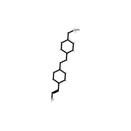 CCC=CC1CCC(CCC2CCC(COC)CC2)CC1